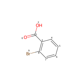 O=C(O)c1ccc[c]c1Br